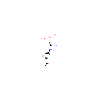 COP(=O)(OCC1OC(/C(C)=C/N(C)C(=O)NC(C)=O)N(N=O)N1N=O)OP(=O)(O)O[PH](O)(OC)OC